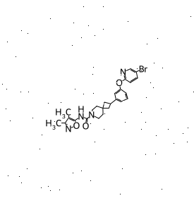 Cc1noc(NC(=O)N2CCC3(CC2)CC(c2cccc(Oc4ccc(Br)cn4)c2)C3)c1C